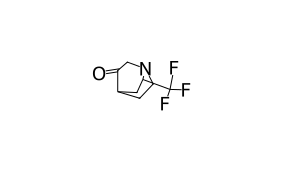 O=C1CN2CCC1CC2C(F)(F)F